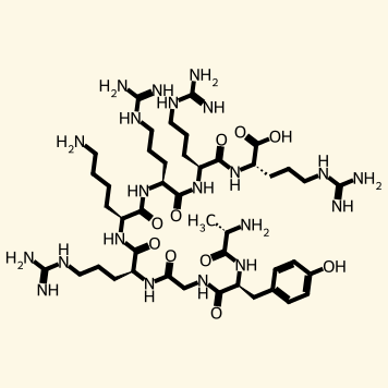 C[C@H](N)C(=O)N[C@@H](Cc1ccc(O)cc1)C(=O)NCC(=O)N[C@@H](CCCNC(=N)N)C(=O)N[C@@H](CCCCN)C(=O)N[C@@H](CCCNC(=N)N)C(=O)N[C@@H](CCCNC(=N)N)C(=O)N[C@@H](CCCNC(=N)N)C(=O)O